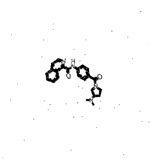 CN(C)C1CCN(C(=O)c2ccc(NC(=O)c3nccc4ccccc34)cc2)C1